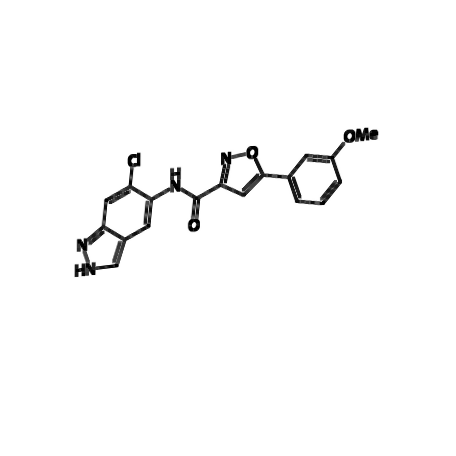 COc1cccc(-c2cc(C(=O)Nc3cc4c[nH]nc4cc3Cl)no2)c1